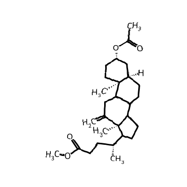 C=C1CC2C(CC[C@@H]3C[C@@H](OC(C)=O)CC[C@]23C)C2CCC([C@H](C)CCC(=O)OC)[C@@]12C